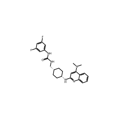 CN(C)c1cc(N[C@H]2CC[C@@H](CNC(=O)Nc3cc(F)cc(F)c3)CC2)nc2ccccc12